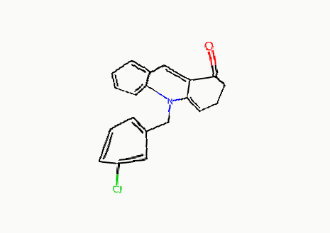 O=C1CCC=C2C1=Cc1ccccc1N2Cc1cccc(Cl)c1